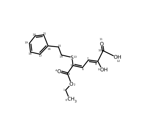 CCOC(=O)/C(=C/C=C(\O)C(=O)O)SCCc1ccccc1